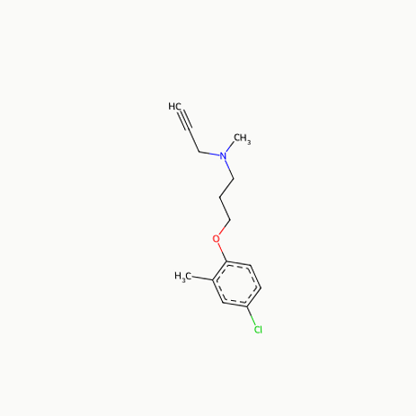 C#CCN(C)CCCOc1ccc(Cl)cc1C